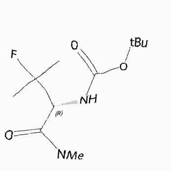 CNC(=O)[C@@H](NC(=O)OC(C)(C)C)C(C)(C)F